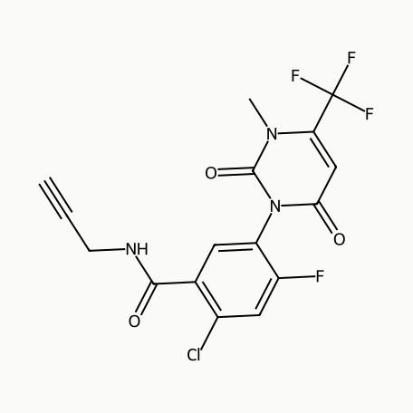 C#CCNC(=O)c1cc(-n2c(=O)cc(C(F)(F)F)n(C)c2=O)c(F)cc1Cl